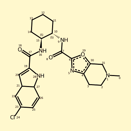 CN1CCc2nc(C(=O)N[C@H]3CCCC[C@@H]3NC(=O)C3=CC4C=C(Cl)C=CC4N3)oc2C1